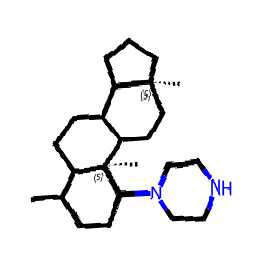 CC1CCC(N2CCNCC2)[C@@]2(C)C1CCC1C3CCC[C@@]3(C)CCC12